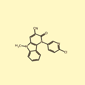 Cn1c2ccccc2c2c1cc(C#N)c(=O)n2-c1ccc(Cl)nc1